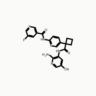 N#Cc1cnc([AsH2])c(NC(=O)C2(c3ccc(NC(=O)c4cncc(F)c4)nc3)CCC2)c1